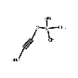 CCCCC#CO[Si](C)(C)CCCC